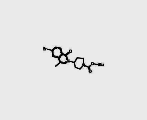 Cc1cn(C2CCN(C(=O)OC(C)(C)C)CC2)c(=O)c2ccc(Br)cc12